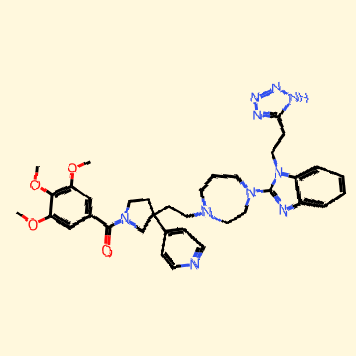 COc1cc(C(=O)N2CCC(CCN3CCCN(c4nc5ccccc5n4CCc4nnn[nH]4)CC3)(c3ccncc3)C2)cc(OC)c1OC